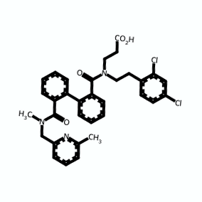 Cc1cccc(CN(C)C(=O)c2ccccc2-c2ccccc2C(=O)N(CCC(=O)O)CCc2ccc(Cl)cc2Cl)n1